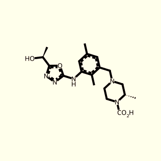 Cc1cc(CN2CCN(C(=O)O)[C@@H](C)C2)c(C)c(Nc2nnc([C@H](C)O)o2)c1